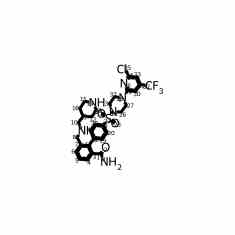 NC(=O)c1cccc(CNCC2CCNCC2)c1-c1ccc(S(=O)(=O)N2CCN(c3cc(C(F)(F)F)cc(Cl)n3)CC2)cc1